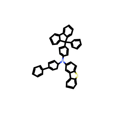 C1=CC(N(c2ccc(C3(c4ccccc4)c4ccccc4-c4ccccc43)cc2)c2ccc3sc4ccccc4c3c2)CC=C1c1ccccc1